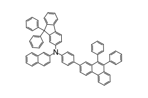 c1ccc(-c2c(-c3ccccc3)c3cc(-c4ccc(N(c5ccc6c(c5)C(c5ccccc5)(c5ccccc5)c5ccccc5-6)c5ccc6ccccc6c5)cc4)ccc3c3ccccc23)cc1